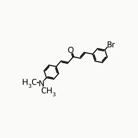 CN(C)c1ccc(/C=C/C(=O)/C=C/c2cccc(Br)c2)cc1